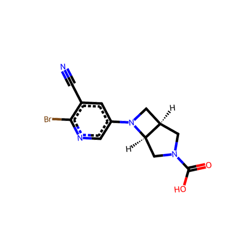 N#Cc1cc(N2C[C@H]3CN(C(=O)O)C[C@H]32)cnc1Br